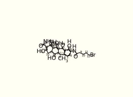 C[C@H]1c2ccc(NC(=O)CCCCBr)c(O)c2C(=O)C2=C(O)[C@]3(O)C(=N)C(C(N)=O)=C(O)CC3[C@@H](O)C21